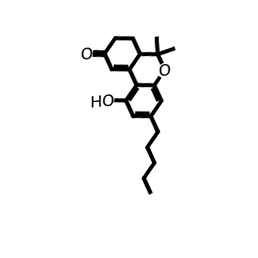 CCCCCc1cc(O)c2c(c1)OC(C)(C)C1CCC(=O)C=C21